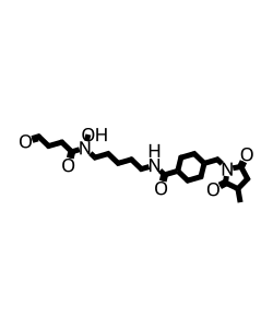 CC1CC(=O)N(CC2CCC(C(=O)NCCCCCN(O)C(=O)CCC=O)CC2)C1=O